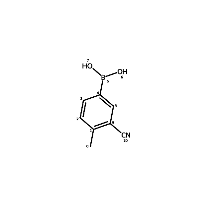 Cc1ccc(B(O)O)cc1C#N